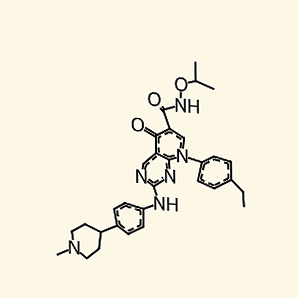 CCc1ccc(-n2cc(C(=O)NOC(C)C)c(=O)c3cnc(Nc4ccc(C5CCN(C)CC5)cc4)nc32)cc1